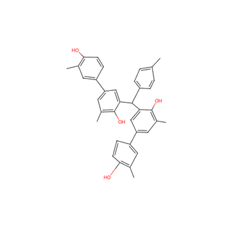 Cc1ccc(C(c2cc(-c3ccc(O)c(C)c3)cc(C)c2O)c2cc(-c3ccc(O)c(C)c3)cc(C)c2O)cc1